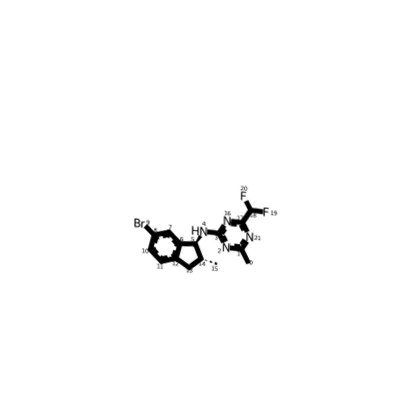 Cc1nc(N[C@@H]2c3cc(Br)ccc3C[C@H]2C)nc(C(F)F)n1